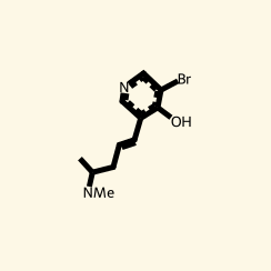 CNC(C)CC=Cc1cncc(Br)c1O